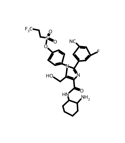 N#Cc1cc(F)cc(-c2nc(C(=O)NC3CCCCC3N)c(CO)n2-c2ccc(OS(=O)(=O)CCC(F)(F)F)cc2)c1